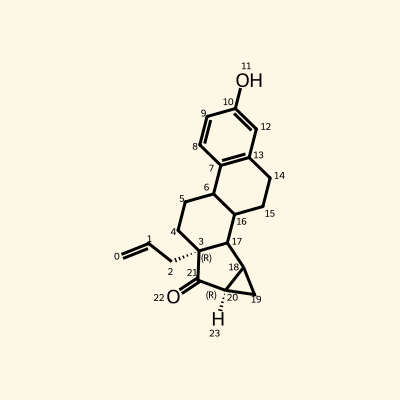 C=CC[C@]12CCC3c4ccc(O)cc4CCC3C1C1C[C@H]1C2=O